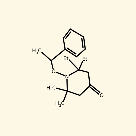 CCC1(CC)CC(=O)CC(C)(C)N1OC(C)c1ccccc1